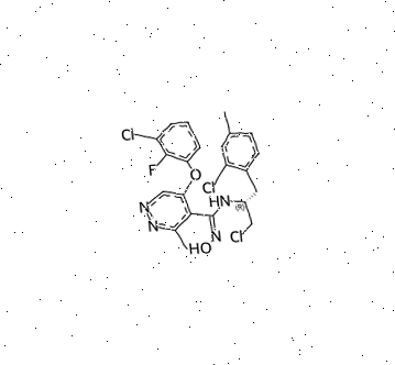 Cc1ccc(C[C@H](CCl)NC(=NO)c2c(Oc3cccc(Cl)c3F)cnnc2C)c(Cl)c1